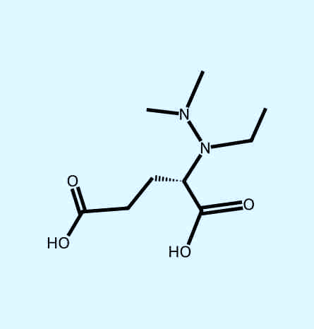 CCN([C@@H](CCC(=O)O)C(=O)O)N(C)C